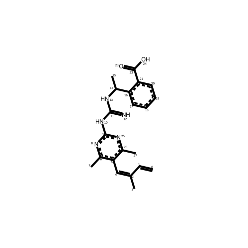 C=C/C(C)=C\c1c(C)nc(NC(=N)NC(C)c2ccccc2C(=O)O)nc1C